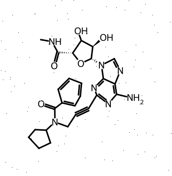 CNC(=O)[C@H]1O[C@@H](n2cnc3c(N)nc(C#CCN(C(=O)c4ccccc4)C4CCCC4)nc32)[C@H](O)C1O